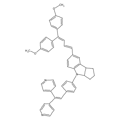 COc1ccc(C(=C/C=C/c2ccc3c(c2)C2CCCC2N3c2ccc(C=C(c3ccncc3)c3ccncc3)cc2)c2ccc(OC)cc2)cc1